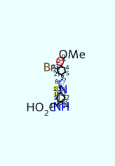 COCOc1ccc(/C=C/c2nc3cc(C)c(NC(=O)O)cc3s2)cc1Br